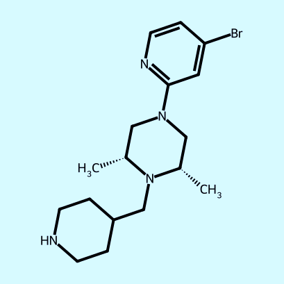 C[C@@H]1CN(c2cc(Br)ccn2)C[C@H](C)N1CC1CCNCC1